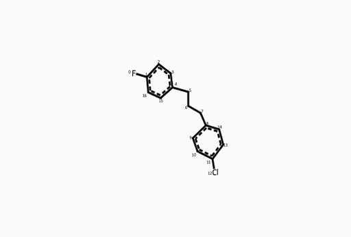 Fc1ccc(CC[CH]c2ccc(Cl)cc2)cc1